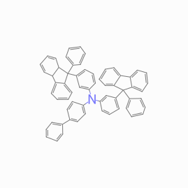 C1=CC2c3ccccc3C(c3ccccc3)(c3cccc(N(c4ccc(-c5ccccc5)cc4)c4cccc(C5(c6ccccc6)c6ccccc6-c6ccccc65)c4)c3)C2C=C1